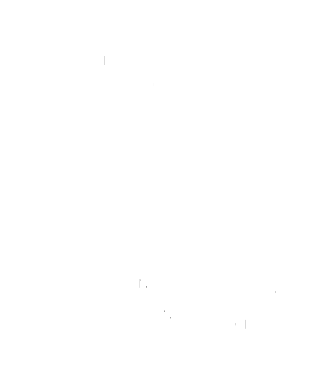 CS(=O)(=O)c1ccc(-c2c(-c3ccccc3Cl)c(C(F)(F)F)nn2-c2ccccc2)cc1